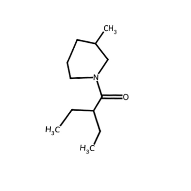 CCC(CC)C(=O)N1CCCC(C)C1